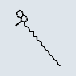 C#Cc1c(CCCCCCCCCCCCCCCCCC)ccc2ccccc12